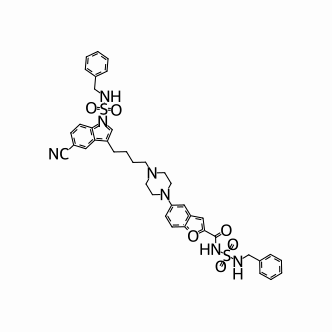 N#Cc1ccc2c(c1)c(CCCCN1CCN(c3ccc4oc(C(=O)NS(=O)(=O)NCc5ccccc5)cc4c3)CC1)cn2S(=O)(=O)NCc1ccccc1